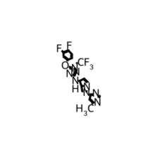 Cc1cc(N2CC3C(Nc4nc(Oc5ccc(F)c(F)c5)n(CC(F)(F)F)n4)C=CN32)ncn1